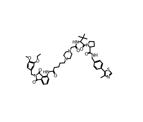 CCOc1cc(CN2C(=O)c3cccc(NC(=O)CCCCN4CCN(CC(=O)NC(C(=O)N5CCCC5C(=O)NCc5ccc(-c6scnc6C)cc5)C(C)(C)C)CC4)c3C2=O)ccc1OC